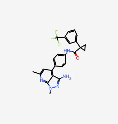 Cc1cc(-c2ccc(NC(=O)C3(c4cccc(C(F)(F)F)c4)CC3)cc2)c2c(N)nn(C)c2n1